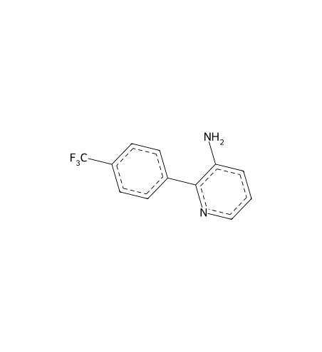 Nc1cccnc1-c1ccc(C(F)(F)F)cc1